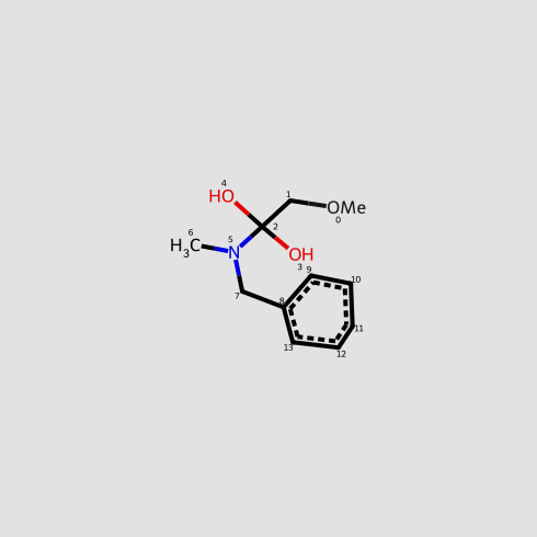 COCC(O)(O)N(C)Cc1ccccc1